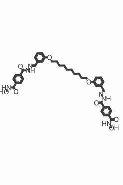 O=C(NO)c1ccc(C(=O)N/N=C/c2cccc(OCCCCCCCCCCOc3cccc(/C=N/NC(=O)c4ccc(C(=O)NO)cc4)c3)c2)cc1